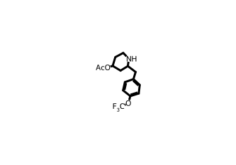 CC(=O)OC1CCNC(Cc2ccc(OC(F)(F)F)cc2)C1